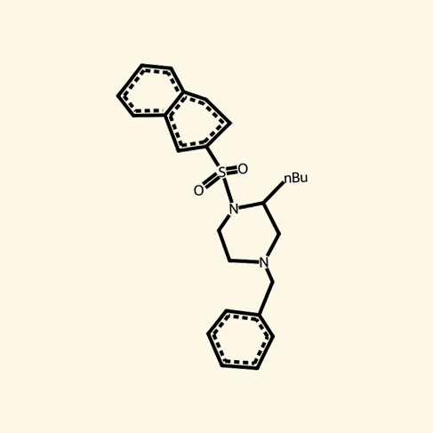 CCCCC1CN(Cc2ccccc2)CCN1S(=O)(=O)c1ccc2ccccc2c1